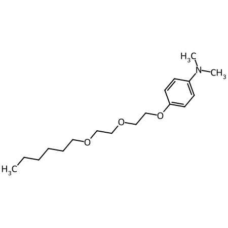 CCCCCCOCCOCCOc1ccc(N(C)C)cc1